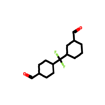 O=CC1CCC(C(F)(F)C2CCCC(C=O)C2)CC1